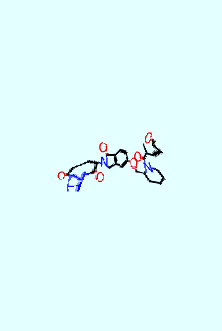 O=C1CCC(N2Cc3cc(OC[C@@H]4CCCCN4C(=O)C4CCCOC4)ccc3C2=O)C(=O)N1